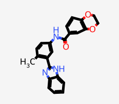 Cc1ccc(NC(=O)c2ccc3c(c2)OCCO3)cc1-c1nc2ccccc2[nH]1